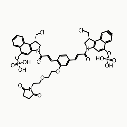 O=C1CCC(=O)N1CCOCCOc1cc(/C=C/C(=O)N2C[C@@H](CCl)c3c2cc(OP(=O)(O)O)c2cc#ccc32)ccc1/C=C/C(=O)N1C[C@@H](CCl)c2c1cc(OP(=O)(O)O)c1ccccc21